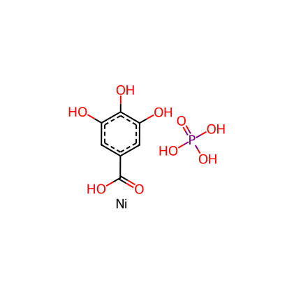 O=C(O)c1cc(O)c(O)c(O)c1.O=P(O)(O)O.[Ni]